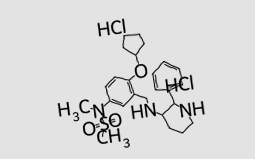 CN(c1ccc(OC2CCCC2)c(CNC2CCCNC2c2ccccc2)c1)S(C)(=O)=O.Cl.Cl